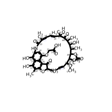 COC1/C=C/OC2(C)Oc3c(C)c(O)c4c(O)c(cc(OCC(=O)O)c4c3C2=O)NC(=O)/C(C)=C\C=C\C(C)(O)C(=O)C(C)C(O)C(C)C(OC(C)=O)C1C